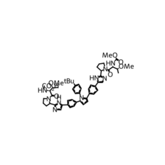 COC(=O)N[C@@H](C(=O)N1CCCC1c1ncc(-c2ccc(-c3ccc(-c4ccc(-c5cnc(C6CCCN6C(=O)[C@@H](NC(=O)O)[C@H](C)OC)[nH]5)cc4)n3-c3ccc(C(C)(C)C)cc3)cc2)[nH]1)[C@H](C)OC